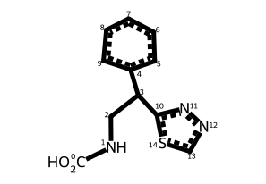 O=C(O)NCC(c1ccccc1)c1nncs1